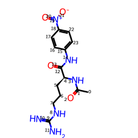 CC(=O)N[C@@H](CCCNC(=N)N)C(=O)Nc1ccc([N+](=O)[O-])cc1